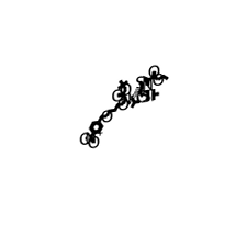 CCOC(=O)c1csc([C@@H](C[C@H](C(C)C)N(OCCCOCc2ccc([N+](=O)[O-])cc2)C(=O)OC(C)(C)C)O[Si](C)(C)C(C)(C)C)n1